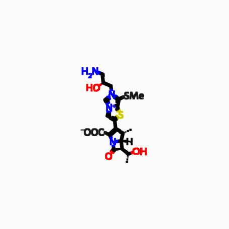 CSc1c2sc(C3=C(C(=O)[O-])N4C(=O)[C@H]([C@@H](C)O)[C@H]4[C@H]3C)c[n+]2cn1C[C@H](O)CN